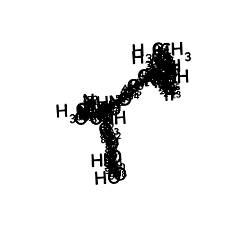 CC(C)N(C)[C@@H]1CC[C@H](N2CC[C@H](Nc3ncnc4ccc(C(F)(F)F)cc34)C2=O)[C@H](NC(=O)C2CCC(NC(=O)CCCOC3CCC(OCCNC(=O)CN(CCNC(=O)[C@H]4CC(=O)N(C)[C@@H]4c4cccnc4)CC(=O)NCCOC4CCC(OCCCC(=O)NC5CCC(C(=O)O)CC5)CC4)CC3)CC2)C1